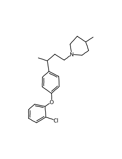 CC1CCN(CCC(C)c2ccc(Oc3ccccc3Cl)cc2)CC1